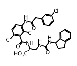 O=C(Cc1cccc(Cl)c1)Nc1ccc(Cl)c(C(=O)N[C@@H](CNC(=O)N[C@@H]2CCc3ccccc32)C(=O)O)c1Cl